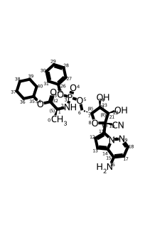 C[C@H](NP(=O)(OC[C@H]1O[C@@](C#N)(c2ccc3c(N)ccnn23)[C@H](O)[C@@H]1O)Oc1ccccc1)C(=O)OC1CCCCC1